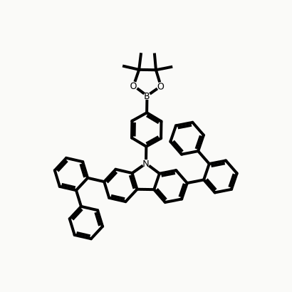 CC1(C)OB(c2ccc(-n3c4cc(-c5ccccc5-c5ccccc5)ccc4c4ccc(-c5ccccc5-c5ccccc5)cc43)cc2)OC1(C)C